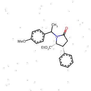 CCOC(=O)[C@H]1[C@@H](c2ccccc2)CC(=O)N1C(C)c1ccc(OC)cc1